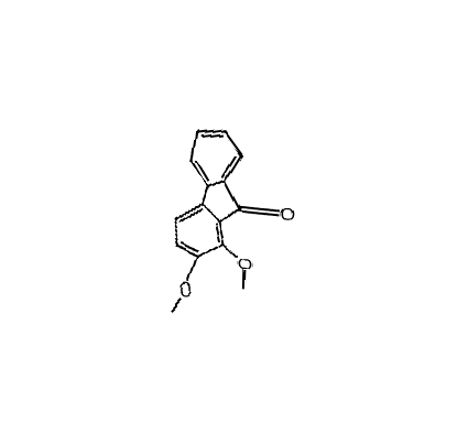 COc1ccc2c(c1OC)C(=O)c1ccccc1-2